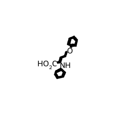 O=C(O)C(=CCCOc1ccccc1)Nc1ccccc1